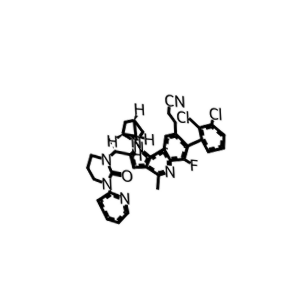 Cc1nc2c(F)c(-c3cccc(Cl)c3Cl)c(CCC#N)cc2c2c1cc([C@@H](C)N1CCCN(c3ccccn3)C1=O)n2[C@H]1[C@H]2CN[C@@H]1C2